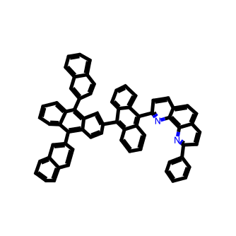 c1ccc(-c2ccc3ccc4ccc(-c5c6ccccc6c(-c6ccc7c(-c8ccc9ccccc9c8)c8ccccc8c(-c8ccc9ccccc9c8)c7c6)c6ccccc56)nc4c3n2)cc1